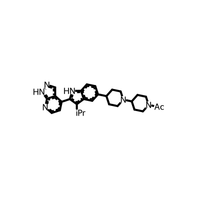 CC(=O)N1CCC(N2CCC(c3ccc4[nH]c(-c5ccnc6[nH]ncc56)c(C(C)C)c4c3)CC2)CC1